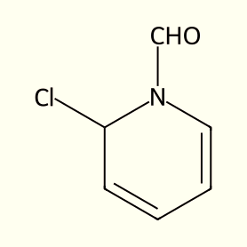 O=CN1C=CC=CC1Cl